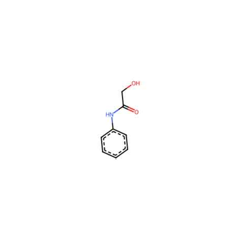 O=C(CO)Nc1cc[c]cc1